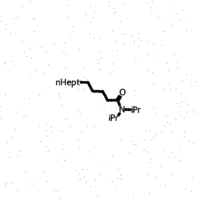 CCCCCCCCCCCC(=O)N(C(C)C)C(C)C